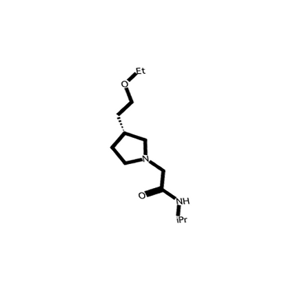 CCOCC[C@H]1CCN(CC(=O)NC(C)C)C1